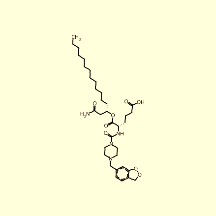 CCCCCCCCCCCCC[C@@H](CC(N)=O)OC(=O)[C@H](CCCC(=O)O)NC(=O)N1CCN(Cc2ccc3c(c2)OOC3)CC1